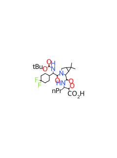 CCCC(NC(=O)C1C2C(CN1C(=O)C(NC(=O)OC(C)(C)C)C1CCC(F)(F)CC1)C2(C)C)C(=O)C(=O)O